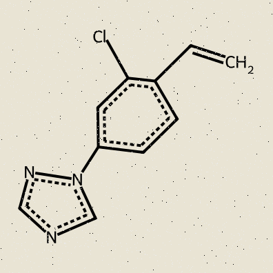 C=Cc1ccc(-n2cncn2)cc1Cl